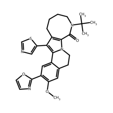 COc1cc2c(cc1-c1ncco1)-c1c(-c3cncs3)c3c(n1CC2)C(=O)N(C(C)(C)C)CCCC3